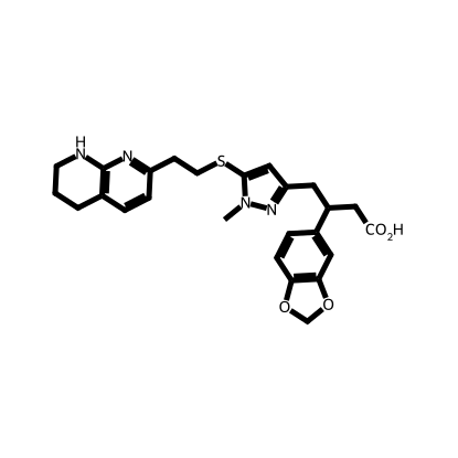 Cn1nc(CC(CC(=O)O)c2ccc3c(c2)OCO3)cc1SCCc1ccc2c(n1)NCCC2